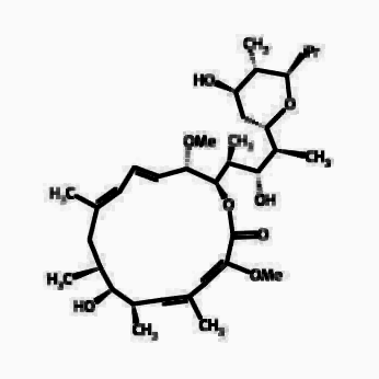 CO/C1=C\C(C)=C\[C@@H](C)[C@@H](O)[C@@H](C)C/C(C)=C/C=C/[C@H](OC)[C@@H]([C@@H](C)[C@@H](O)[C@H](C)[C@@H]2C[C@@H](O)[C@H](C)[C@@H](C(C)C)O2)OC1=O